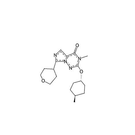 Cn1c(O[C@H]2CC[C@H](C)CC2)nn2c(C3CCOCC3)ncc2c1=O